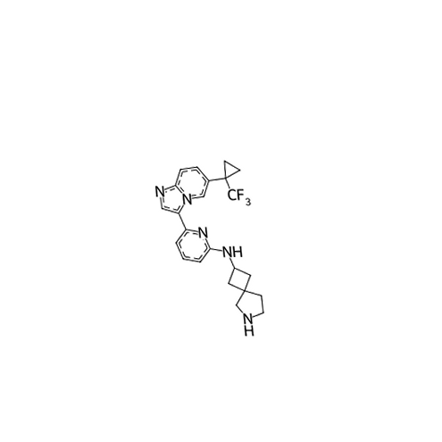 FC(F)(F)C1(c2ccc3ncc(-c4cccc(NC5CC6(CCNC6)C5)n4)n3c2)CC1